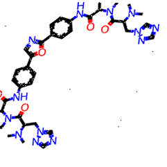 CN(C)C(Cn1cncn1)C(=O)N1CCCC1C(=O)Nc1ccc(-c2cnc(-c3ccc(NC(=O)C4CCCN4C(=O)C(Cn4cncn4)N(C)C)cc3)o2)cc1